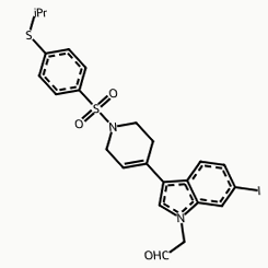 CC(C)Sc1ccc(S(=O)(=O)N2CC=C(c3cn(CC=O)c4cc(I)ccc34)CC2)cc1